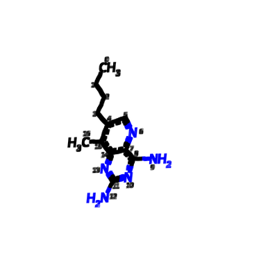 CCCCc1cnc2c(N)nc(N)nc2c1C